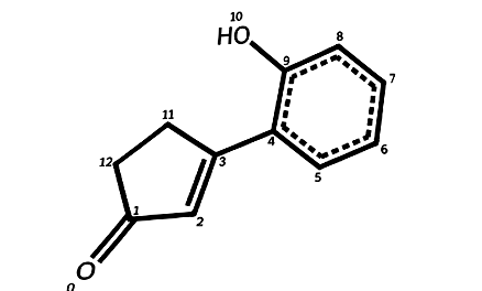 O=C1C=C(c2ccccc2O)CC1